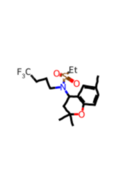 CCS(=O)(=O)N(CCCC(F)(F)F)C1CC(C)(C)Oc2ccc(C)cc21